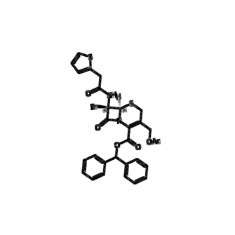 CC(=O)OCC1=C(C(=O)OC(c2ccccc2)c2ccccc2)N2C(=O)[C@](Br)(NC(=O)Cc3cccs3)[C@H]2SC1